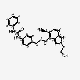 N#Cc1cnc2nn(CCO)cc2c1NCCc1ccc(NC(=O)Nc2ccccc2)cc1